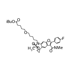 CNC(=O)c1c(-c2ccc(F)cc2)oc2cc(N(CCCCCOCCCCC(=O)OCC(C)C)S(C)(=O)=O)c(C3CC3)cc12